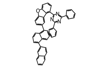 c1ccc(-c2nc(-c3ccccc3)nc(-c3cccc4oc5ccc(-c6cccc7c(-c8ccc9ccccc9c8)cccc67)cc5c34)n2)cc1